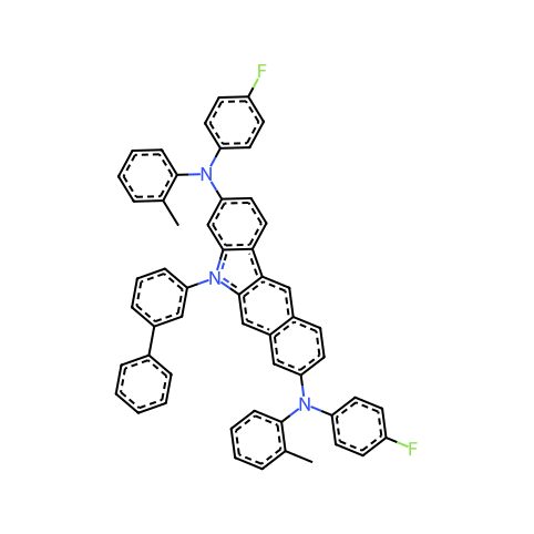 Cc1ccccc1N(c1ccc(F)cc1)c1ccc2cc3c4ccc(N(c5ccc(F)cc5)c5ccccc5C)cc4n(-c4cccc(-c5ccccc5)c4)c3cc2c1